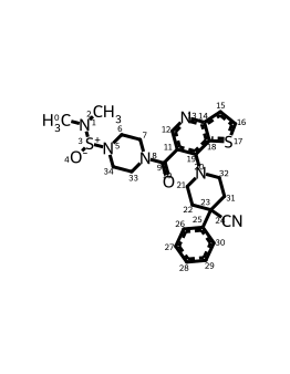 CN(C)[S+]([O-])N1CCN(C(=O)c2cnc3ccsc3c2N2CCC(C#N)(c3ccccc3)CC2)CC1